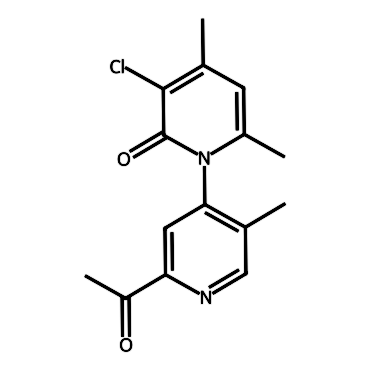 CC(=O)c1cc(-n2c(C)cc(C)c(Cl)c2=O)c(C)cn1